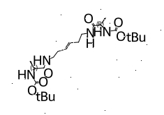 C[C@H](NC(=O)OC(C)(C)C)C(=O)NCCC=CCCNC(=O)[C@@H](C)NC(=O)OC(C)(C)C